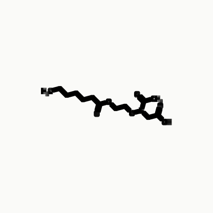 CCCCCCC(=O)OCCON(CC(=O)O)C(C)=O